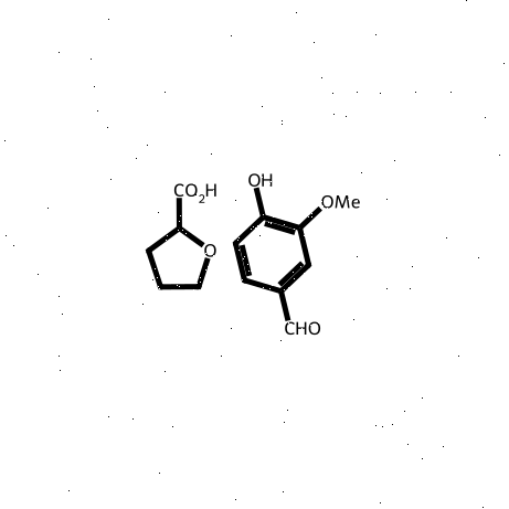 COc1cc(C=O)ccc1O.O=C(O)C1CCCO1